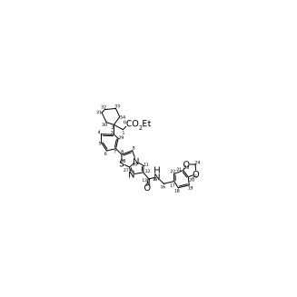 CCOC(=O)CC1(c2cccc(-c3cn4cc(C(=O)NCc5ccc6c(c5)OCO6)nc4s3)c2)CCCCC1